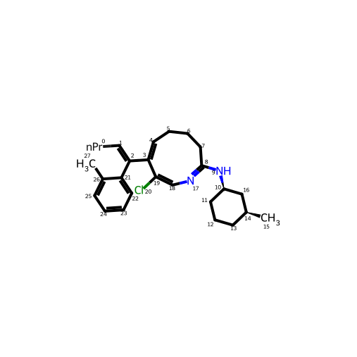 CCC/C=C(/C1=CCCC/C(N[C@@H]2CCC[C@H](C)C2)=N\C=C/1Cl)c1ccccc1C